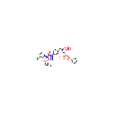 O=C(Nc1ccc(C[C@@H](CO)NC[C@H](O)COc2ccccc2)cc1)N(OC(=O)C(F)(F)F)c1cccc(F)c1